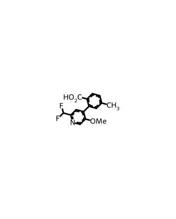 COc1cnc(C(F)F)cc1-c1cc(C)ccc1C(=O)O